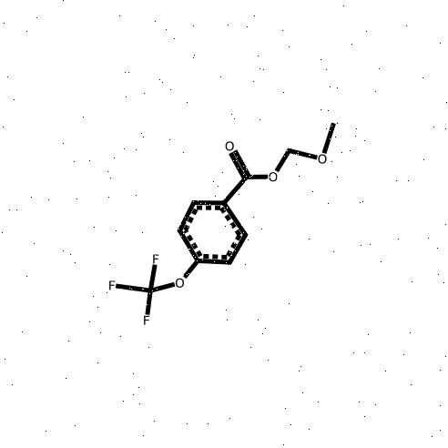 [CH2]OCOC(=O)c1ccc(OC(F)(F)F)cc1